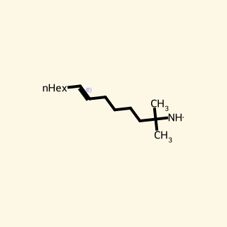 CCCCCC/C=C/CCCCC(C)(C)[NH]